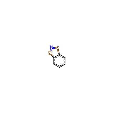 c1ccc2[s+]nsc2c1